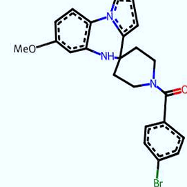 COc1ccc2c(c1)NC1(CCN(C(=O)c3ccc(Br)cc3)CC1)c1cccn1-2